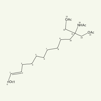 CCCCCCCC/C=C/CCCCCCCCC(COC(C)=O)(COC(C)=O)NC(C)=O